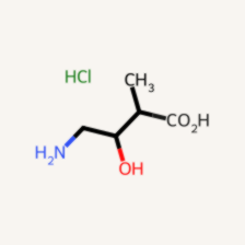 CC(C(=O)O)C(O)CN.Cl